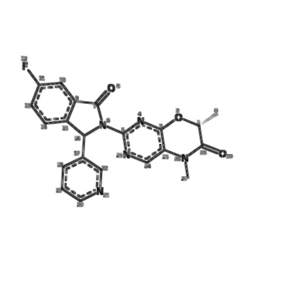 C[C@H]1Oc2nc(N3C(=O)c4cc(F)ccc4C3c3cccnc3)ncc2N(C)C1=O